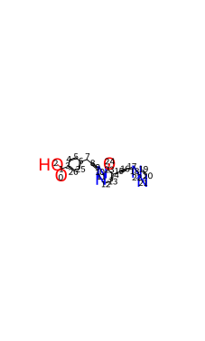 O=C(O)c1ccc(CC#Cn2nccc(C#CCn3ccnc3)c2=O)cc1